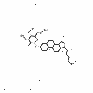 CCCCOCC1O[C@H](O[C@H]2CC[C@@]3(C)C(CCC4C3CC[C@@]3(C)C4CC[C@@H]3[C@H](C)CCCC(C)C)C2)C(C)[C@@H](OCCCC)[C@@H]1OCCCC